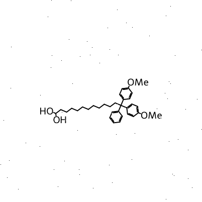 COc1ccc(C(CCCCCCCCCCCC(O)O)(c2ccccc2)c2ccc(OC)cc2)cc1